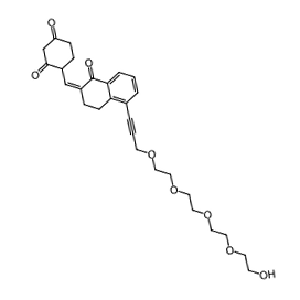 O=C1CCC(/C=C2/CCc3c(C#CCOCCOCCOCCOCCO)cccc3C2=O)C(=O)C1